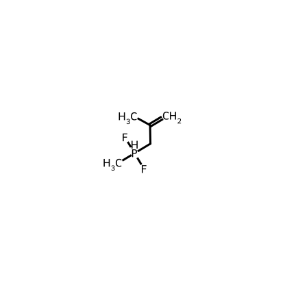 C=C(C)C[PH](C)(F)F